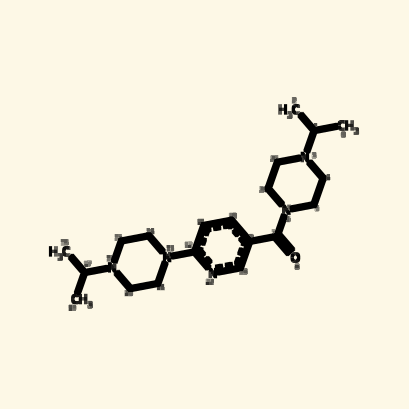 CC(C)N1CCN(C(=O)c2ccc(N3CCN(C(C)C)CC3)nc2)CC1